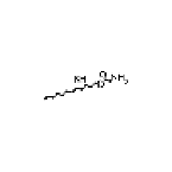 CCCCCCCCCCCCOC(=O)CN.[KH]